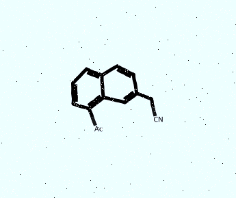 CC(=O)c1cccc2ccc(CC#N)cc12